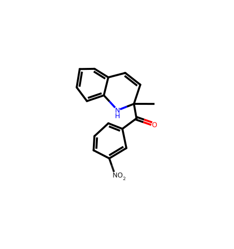 CC1(C(=O)c2cccc([N+](=O)[O-])c2)C=Cc2ccccc2N1